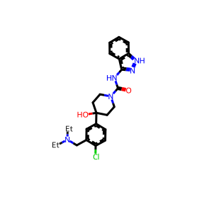 CCN(CC)Cc1cc(C2(O)CCN(C(=O)Nc3n[nH]c4ccccc34)CC2)ccc1Cl